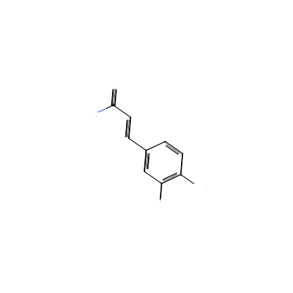 C=C(N)/C=C/c1ccc(C)c(C)c1